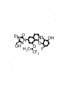 CCn1c(CO)nn(-c2cc(OC(C)C(F)(F)F)c3c(Oc4c(F)ccc(O)c4Cl)nccc3c2)c1=O